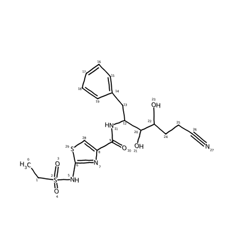 CCS(=O)(=O)Nc1nc(C(=O)NC(Cc2ccccc2)C(O)C(O)CCC#N)cs1